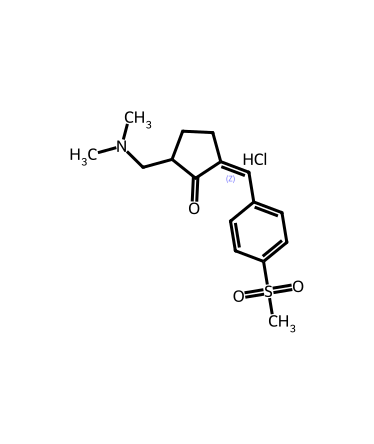 CN(C)CC1CC/C(=C/c2ccc(S(C)(=O)=O)cc2)C1=O.Cl